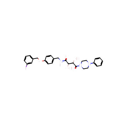 O=C(NCc1ccc(OCc2cccc(I)c2)cc1)[C@H](O)[C@@H](O)C(=O)N1CCN(c2ccccc2)CC1